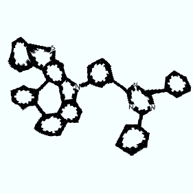 c1ccc(-c2nc(-c3ccccc3)nc(-c3cccc(-n4c5cc6sc7ccccc7c6c6c5c5c7c(cccc7ccc54)-c4ccccc4-6)c3)n2)cc1